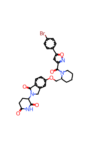 O=C1CCC(N2Cc3cc(OC[C@@H]4CCCCN4C(=O)c4cc(-c5ccc(Br)cc5)on4)ccc3C2=O)C(=O)N1